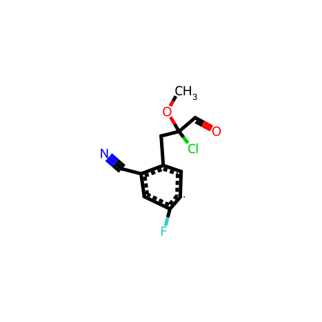 COC(Cl)(C=O)Cc1c[c]c(F)cc1C#N